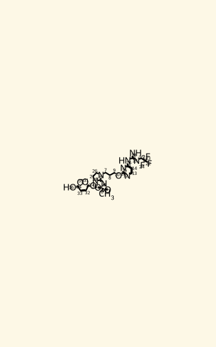 CS(=O)(=O)N=C1N(CCCOc2nccc(NC(N)=NCC(F)(F)F)n2)CCN1OC(=O)/C=C\C(=O)O